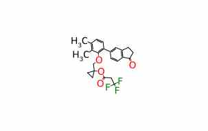 Cc1ccc(-c2ccc3c(c2)CCC3=O)c(OCC2(OC(=O)CC(F)(F)F)CC2)c1C